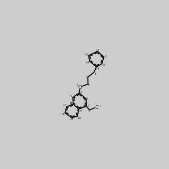 ClCc1cc(OCCCc2ccccc2)cc2ccccc12